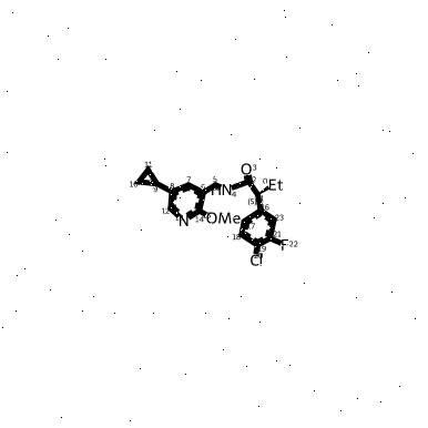 CC[C@H](C(=O)NCc1cc(C2CC2)cnc1OC)c1ccc(Cl)c(F)c1